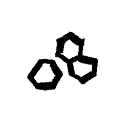 c1ccc2nccnc2c1.c1ccccc1